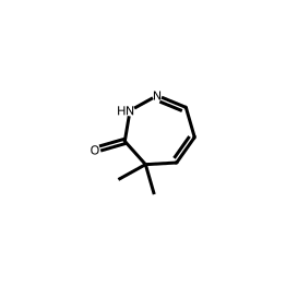 CC1(C)C=CC=NNC1=O